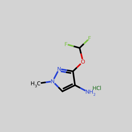 Cl.Cn1cc(N)c(OC(F)F)n1